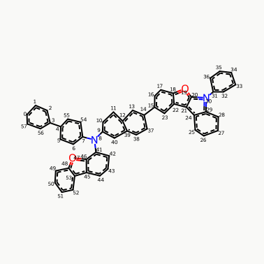 c1ccc(-c2ccc(N(c3ccc4cc(-c5ccc6oc7c(c6c5)c5ccccc5n7-c5ccccc5)ccc4c3)c3cccc4c3oc3ccccc34)cc2)cc1